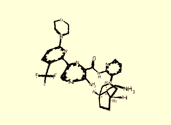 NC[C@@H]1[C@@H]2CC[C@H]1CN(c1cccnc1NC(=O)c1nc(-c3nc(N4CCOCC4)ccc3C(F)(F)F)cnc1N)C2